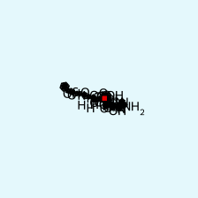 CC(C)(COP(=O)(O)OP(=O)(O)OC[C@H]1O[C@@H](n2cnc3c(N)ncnc32)[C@H](O)[C@@H]1OP(=O)(O)O)[C@@H](O)C(=O)NCCC(=O)NCCSC(=O)CC(O)c1ccccc1